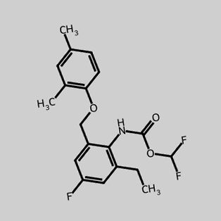 CCc1cc(F)cc(COc2ccc(C)cc2C)c1NC(=O)OC(F)F